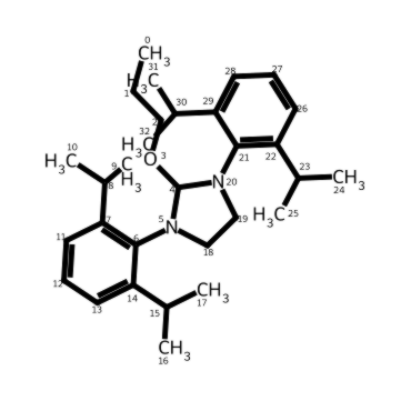 CCCOC1N(c2c(C(C)C)cccc2C(C)C)CCN1c1c(C(C)C)cccc1C(C)C